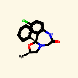 C[C@@H]1CN2CC(=O)Nc3ccc(Cl)cc3[C@]2(c2ccccc2)O1